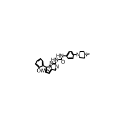 COc1ccccc1-c1ccc2cnc(NC(=O)Nc3ccc(N4CCN(C)CC4)cc3)nn12